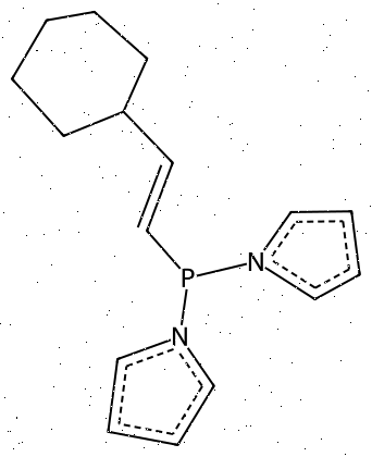 C(=CP(n1cccc1)n1cccc1)C1CCCCC1